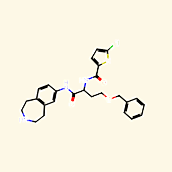 O=C(NC(CCOCc1ccccc1)C(=O)Nc1ccc2c(c1)CCNCC2)c1ccc(Cl)s1